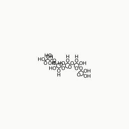 O=C(O)C(O)C(O)[C@@H](CO)OO[C@@H]1CO[C@H](O[C@@H]2CO[C@H](O[C@@H]3CO[C@H](O[C@@H]4COC[C@H](O)C4O)[C@H](O)C3O)[C@H](O)C2O)[C@H](O)C1O